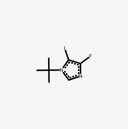 CC(C)(C)n1cnc(F)c1I